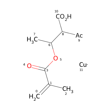 C=C(C)C(=O)OC(C)C(C(C)=O)C(=O)O.[Cu]